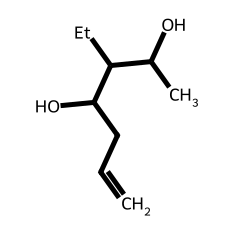 C=CCC(O)C(CC)C(C)O